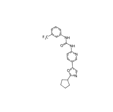 O=C(Nc1cccc(C(F)(F)F)c1)Nc1ccc(-c2cnc([C]3CCCC3)o2)cn1